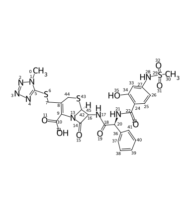 Cn1nnnc1SCC1=C(C(=O)O)N2C(=O)C(NC(=O)[C@@H](NC(=O)c3ccc(NS(C)(=O)=O)cc3O)c3ccccc3)[C@@H]2SC1